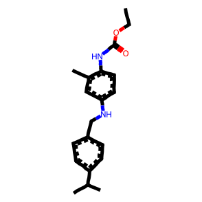 CCOC(=O)Nc1ccc(NCc2ccc(C(C)C)cc2)cc1C